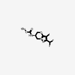 CC(C)(C)OC(=O)N[C@H]1COc2c(I)c(C(F)F)nn2C1